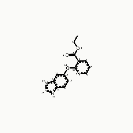 CCOC(=O)c1cccnc1Oc1ccc2nsnc2c1